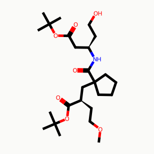 COCC[C@H](CC1(C(=O)N[C@H](CCO)CC(=O)OC(C)(C)C)CCCC1)C(=O)OC(C)(C)C